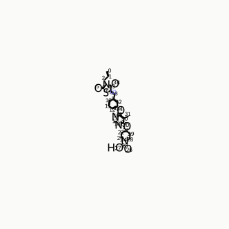 C=CCN1C(=O)S/C(=C\c2cccc(Oc3ncnc(OC4CCN(C(=O)O)CC4)c3C)c2)C1=O